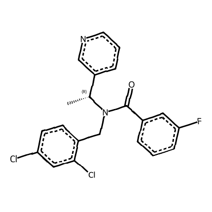 C[C@H](c1cccnc1)N(Cc1ccc(Cl)cc1Cl)C(=O)c1cccc(F)c1